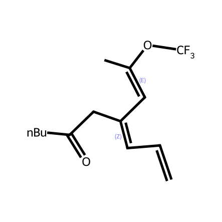 C=C/C=C(\C=C(/C)OC(F)(F)F)CC(=O)CCCC